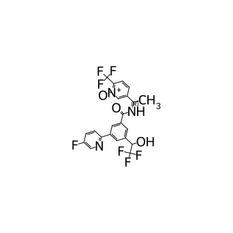 C[C@@H](NC(=O)c1cc(-c2ccc(F)cn2)cc(C(O)C(F)(F)F)c1)c1ccc(C(F)(F)F)[n+]([O-])c1